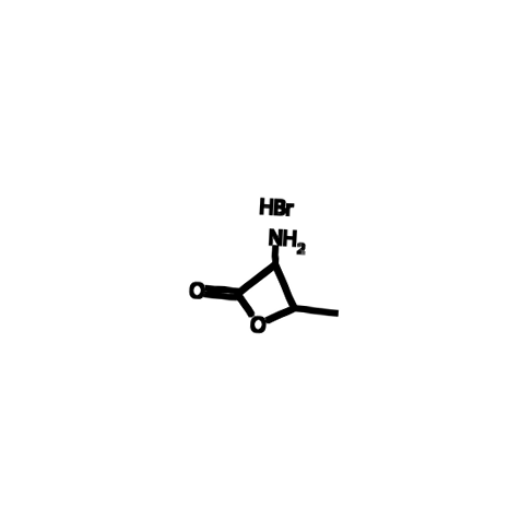 Br.CC1OC(=O)C1N